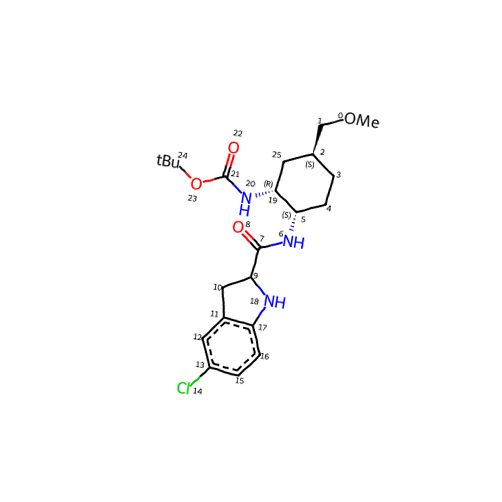 COC[C@H]1CC[C@H](NC(=O)C2Cc3cc(Cl)ccc3N2)[C@H](NC(=O)OC(C)(C)C)C1